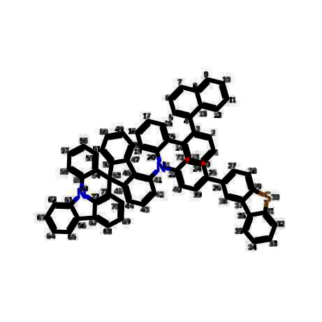 c1ccc(-c2cccc3ccccc23)c(-c2ccccc2N(c2ccc(-c3ccc4sc5ccccc5c4c3)cc2)c2cccc3c2-c2ccccc2C32c3ccccc3-n3c4ccccc4c4cccc2c43)c1